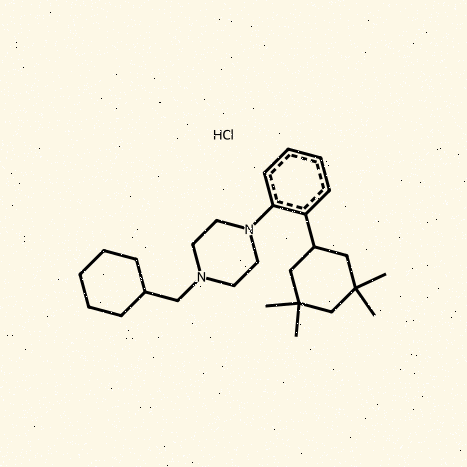 CC1(C)CC(c2ccccc2N2CCN(CC3CCCCC3)CC2)CC(C)(C)C1.Cl